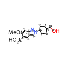 COc1cc2nn(C3CCC(CO)CC3)cc2cc1C(=O)O